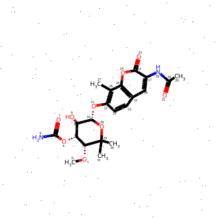 CO[C@@H]1[C@H](OC(N)=O)C(O)[C@H](Oc2ccc3cc(NC(C)=O)c(=O)oc3c2C)OC1(C)C